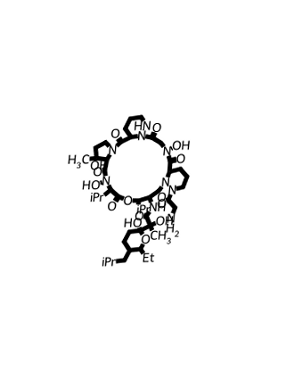 CCC1OC(O)(C(C)(O)C(=O)NC2C(=O)N3C(CCCN3C(=O)CN)C(=O)N(O)CC(=O)N3NCCCC3C(=O)N3CCC(C)(O)C3C(=O)N(O)C(C(C)C)C(=O)OC2C(C)C)CCC1CC(C)C